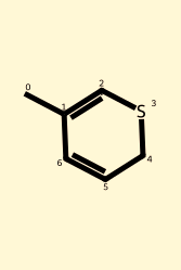 CC1=[C]SCC=C1